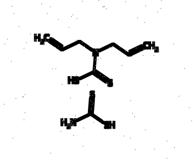 C=CCN(CC=C)C(=S)S.NC(=S)S